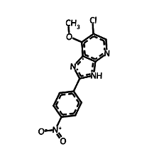 COc1c(Cl)cnc2[nH]c(-c3ccc([N+](=O)[O-])cc3)nc12